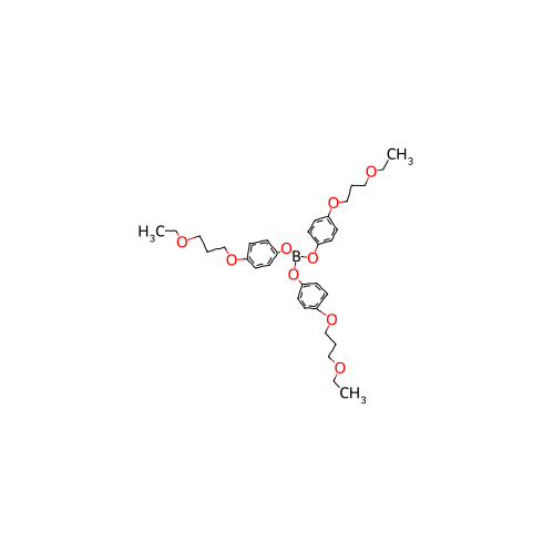 CCOCCCOc1ccc(OB(Oc2ccc(OCCCOCC)cc2)Oc2ccc(OCCCOCC)cc2)cc1